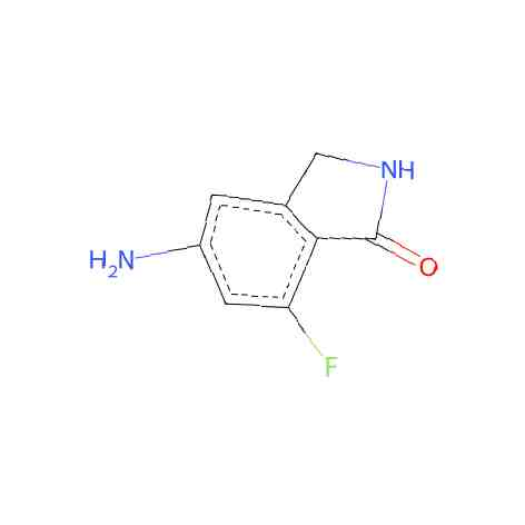 Nc1cc(F)c2c(c1)CNC2=O